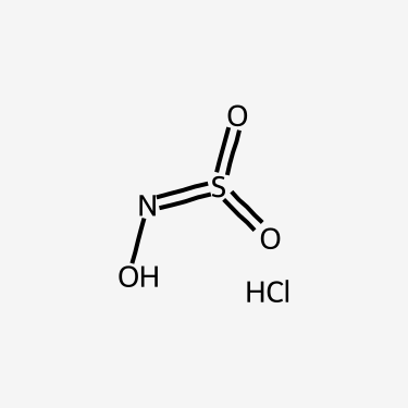 Cl.O=S(=O)=NO